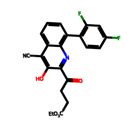 CCOC(=O)CCC(=O)c1nc2c(-c3ccc(F)cc3F)cccc2c(C#N)c1O